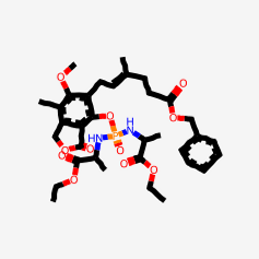 CCOC(=O)C(C)NP(=O)(NC(C)C(=O)OCC)Oc1c(C/C=C(\C)CCC(=O)OCc2ccccc2)c(OC)c(C)c2c1C(=O)OC2